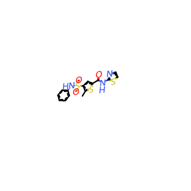 Cc1sc(C(=O)Nc2nccs2)cc1S(=O)(=O)Nc1ccccc1